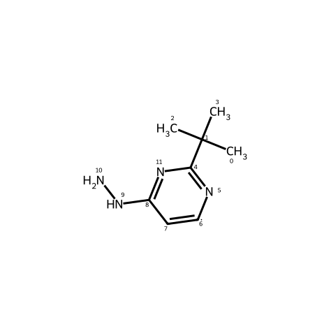 CC(C)(C)c1n[c]cc(NN)n1